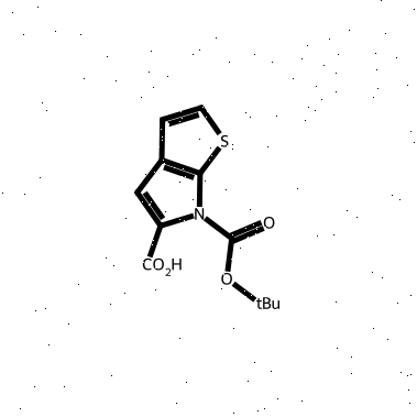 CC(C)(C)OC(=O)n1c(C(=O)O)cc2ccsc21